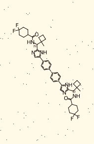 CC1([C@H](NC(=O)C2CCC(F)(F)CC2)c2ncc(-c3ccc(-c4ccc(-c5cnc([C@@H](NC(=O)C6CCC(F)(F)CC6)C6(C)CCC6)[nH]5)cc4)cc3)[nH]2)CCC1